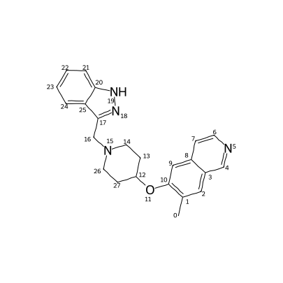 Cc1cc2cnccc2cc1OC1CCN(Cc2n[nH]c3ccccc23)CC1